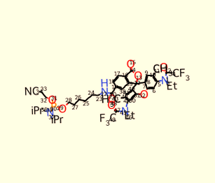 CCN(C(=O)C(F)(F)F)c1cc2c(cc1C)C1(OC(=O)c3ccc(C(=O)NCCCCCCOP(OCCC#N)N(C(C)C)C(C)C)cc31)c1cc(C)c(N(CC)C(=O)C(F)(F)F)cc1O2